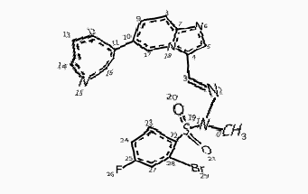 CN(/N=C/c1cnc2ccc(-c3cccnc3)cn12)S(=O)(=O)c1ccc(F)cc1Br